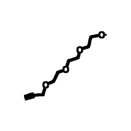 C#CCOCCOCCOCC[O]